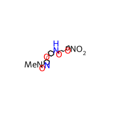 CNC(=O)c1cc(Oc2ccc(NC(=O)C=Cc3ccc([N+](=O)[O-])o3)cc2)ccn1